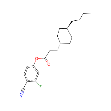 CCCC[C@H]1CC[C@H](CCC(=O)Oc2ccc(C#N)c(F)c2)CC1